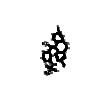 C/C(=C1/c2ccc(F)cc2COc2cc(F)ccc21)c1cccc(NS(C)(=O)=O)c1